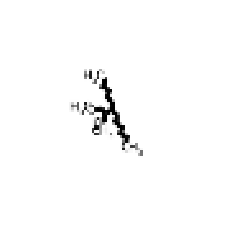 CCCCCCC(CCCCCC)C(COC)COC